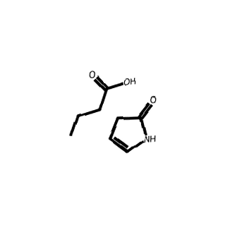 CCCC(=O)O.O=C1CC=CN1